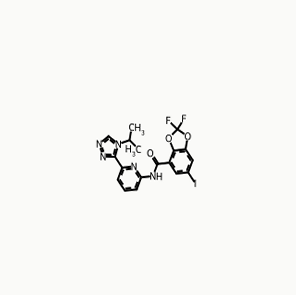 CC(C)n1cnnc1-c1cccc(NC(=O)c2cc(I)cc3c2OC(F)(F)O3)n1